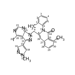 Cc1ccccc1-n1c(Cn2nc(-c3cnn(C)c3)c3c(I)ncnc32)cc2cccc(C)c2c1=O